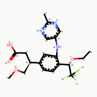 CCO[C@@H](c1ccc([C@@H](COC)CC(=O)O)cc1Nc1cnc(C)nc1)C(F)(F)F